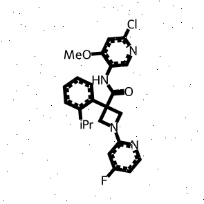 COc1cc(Cl)ncc1NC(=O)C1(c2ccccc2C(C)C)CN(c2cc(F)ccn2)C1